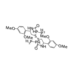 COc1ccc(C(CSSCC(NC(=O)PP)c2ccc(OC)cc2OC)NC(=O)PP)c(OC)c1